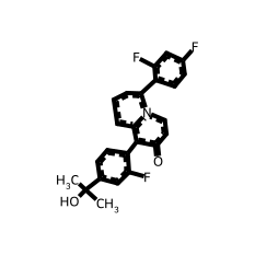 CC(C)(O)c1ccc(-c2c(=O)ccn3c(-c4ccc(F)cc4F)cccc23)c(F)c1